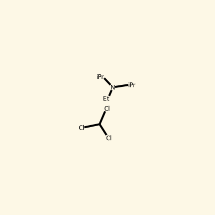 CCN(C(C)C)C(C)C.ClC(Cl)Cl